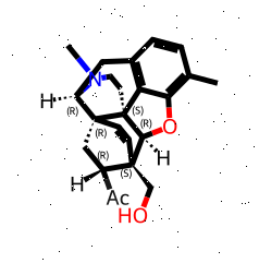 CC(=O)[C@@H]1C[C@@]23C=C[C@]1(CO)[C@@H]1Oc4c(C)ccc5c4[C@@]12CCN(C)[C@@H]3C5